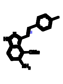 COc1c(N)ccc2[nH]nc(/C=C/c3ccc(C)cc3)c12